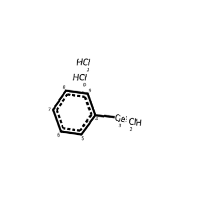 Cl.Cl.Cl.[Ge][c]1ccccc1